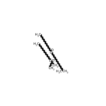 CCCCCCCCCCCCCCCC(=O)OCCCCCCCCCCCCCCCC(C)C.CCCCCCCCCCCCCCCCOC(=O)C(CC)CCCC